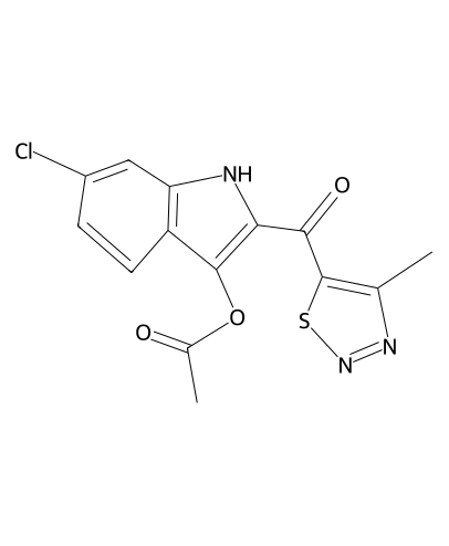 CC(=O)Oc1c(C(=O)c2snnc2C)[nH]c2cc(Cl)ccc12